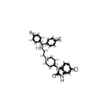 O=c1[nH]c2cc(Cl)ccc2n1C1CCN(CCNC(c2ccc(F)cc2)c2ccc(F)cc2)CC1